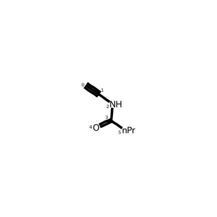 C#CNC(=O)CCC